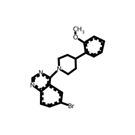 COc1ccccc1C1CCN(c2ncnc3ccc(Br)cc23)CC1